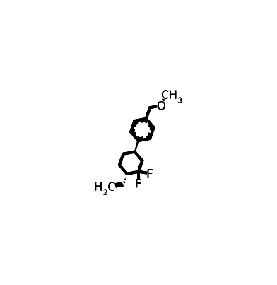 C=C[C@@H]1CC[C@@H](c2ccc(COC)cc2)CC1(F)F